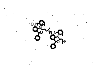 CN(C)CCCN(c1ccccc1C(=O)c1ccccc1)c1ncccc1[N+](=O)[O-].CN(C)CCN(c1ccccc1C(=O)c1ccccc1)c1ncccc1[N+](=O)[O-]